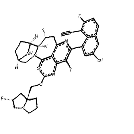 C#Cc1c(F)ccc2cc(O)cc(-c3nc4c5c(nc(OC[C@@]67CCCN6C[C@H](F)C7)nc5c3F)N3C[C@H]5CC[C@H](N5)[C@H]3[C@H](C)C4)c12